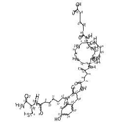 NC(=O)[C@H](CS)NC(=O)CCCCCNC(=O)C(Cc1ccc(O)cc1)NC(=O)CCCC(=O)N[C@]12CNCCNC[C@](NC(=O)CCCC(=O)O)(CNCCNC1)CNCCN2